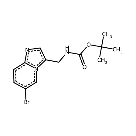 CC(C)(C)OC(=O)NCc1cnc2ccc(Br)cn12